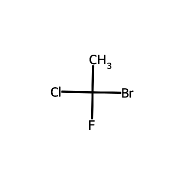 CC(F)(Cl)Br